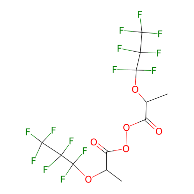 CC(OC(F)(F)C(F)(F)C(F)(F)F)C(=O)OOC(=O)C(C)OC(F)(F)C(F)(F)C(F)(F)F